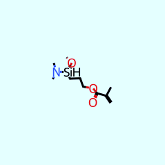 C=C(C)C(=O)OCCC[SiH](OC)N(C)C